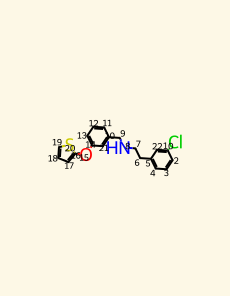 Clc1cccc(CCNCc2cccc(Oc3cccs3)c2)c1